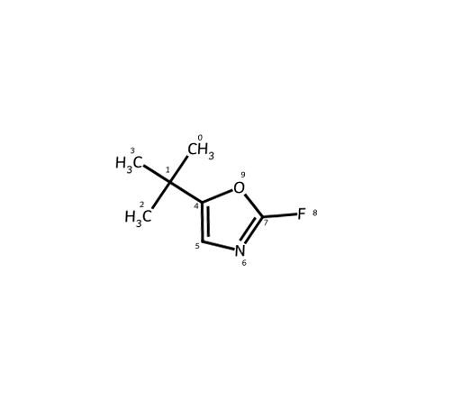 CC(C)(C)c1cnc(F)o1